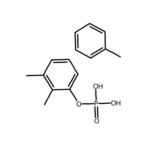 Cc1cccc(OP(=O)(O)O)c1C.Cc1ccccc1